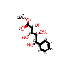 CC(C)(C)OC(=O)[C@H](O)[C@@H](O)[C@H](O)[C@@H](O)c1ccccc1